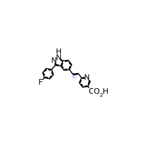 O=C(O)c1ccc(/C=C/c2ccc3[nH]nc(-c4ccc(F)cc4)c3c2)nc1